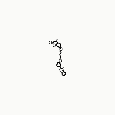 Cc1cc(=O)oc2cc(OCCCCCOc3cccc(-c4nc5ccccc5s4)c3)ccc12